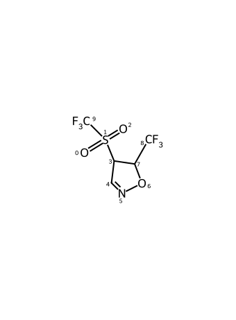 O=S(=O)(C1C=NOC1C(F)(F)F)C(F)(F)F